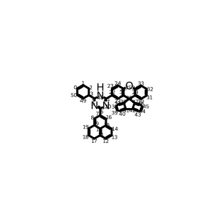 C1=CCC(C2N=C(c3cc4c5c(cccc5c3)CC=C4)N=C(c3ccc4c(c3)C3(c5ccccc5O4)c4ccccc4-c4ccccc43)N2)C=C1